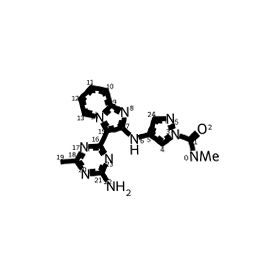 CNC(=O)n1cc(Nc2nc3ccccn3c2-c2nc(C)nc(N)n2)cn1